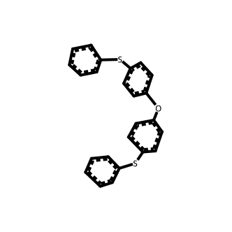 c1ccc(Sc2ccc(Oc3ccc(Sc4ccccc4)cc3)cc2)cc1